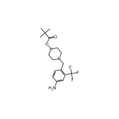 CC(C)(C)C(=O)ON1CCN(Cc2ccc(N)cc2C(F)(F)F)CC1